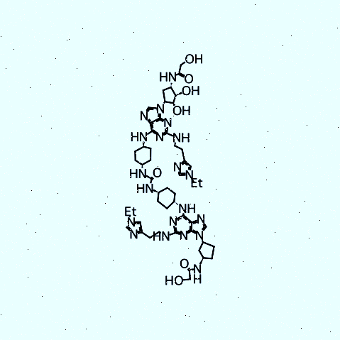 CCn1cnc(CCNc2nc(N[C@H]3CC[C@H](NC(=O)N[C@H]4CC[C@H](Nc5nc(NCCc6cn(CC)cn6)nc6c5ncn6[C@@H]5C[C@H](NC(=O)CO)[C@@H](O)[C@H]5O)CC4)CC3)c3ncn([C@H]4CC[C@@H](NC(=O)CO)C4)c3n2)c1